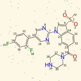 CS(=O)(=O)c1cn(-c2ncc(-c3ccc(F)cc3F)cn2)c2cc(C(=O)N3CCNCC3)ccc12